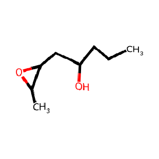 CCCC(O)CC1OC1C